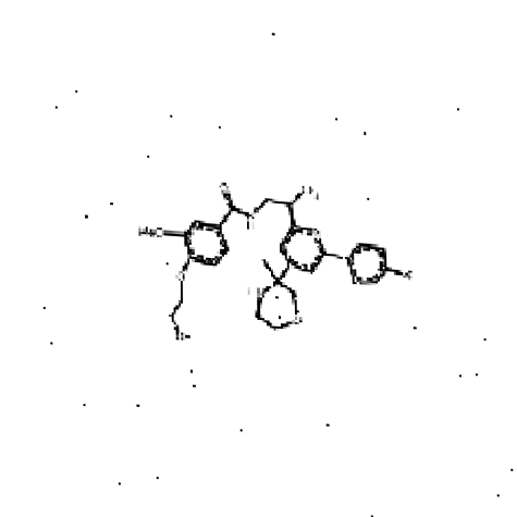 COc1cc(C(=O)NCC(c2cc(C3(C)COCCN3)cc(-c3ccc(F)cc3)n2)C(F)(F)F)ccc1OCCO